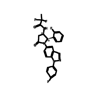 CC(F)(F)C(=O)N[C@@H]1CC(=O)N(c2ccc3c(cnn3-c3ccc(F)cc3)c2)[C@H]1c1ccccc1F